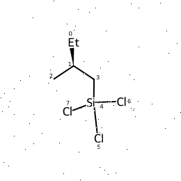 CC[C@H](C)C[Si](Cl)(Cl)Cl